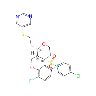 O=S(=O)(c1ccc(Cl)cc1)[C@@]12CCO[C@@H](CCSc3cncnc3)[C@@H]1COc1c(F)ccc(F)c12